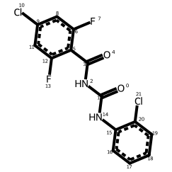 O=C(NC(=O)c1c(F)cc(Cl)cc1F)Nc1ccccc1Cl